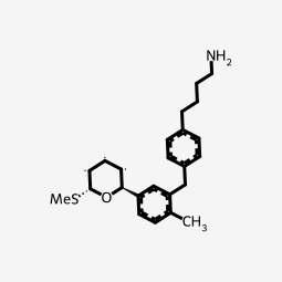 CS[C@@H]1[CH][CH][CH][C@@H](c2ccc(C)c(Cc3ccc(CCCCN)cc3)c2)O1